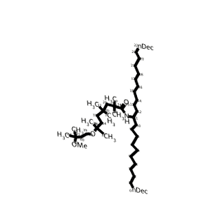 CCCCCCCCCCCCCCCCCCCCC(CCCCCCCCCCCCCCCCCCCC)NC(=O)C(C)(C)CC(C)(C)CCC(C)(C)OCCC(C)(C)OC